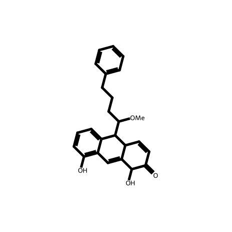 COC(CCCc1ccccc1)C1c2cccc(O)c2C=C2C(O)C(=O)C=CC21